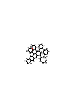 c1ccc(-c2c(-c3ccccc3)c(-c3ccccc3)c3c(-c4ccccc4)c4cc5ccccc5cc4cc3c2C2CCCCCCC2)cc1